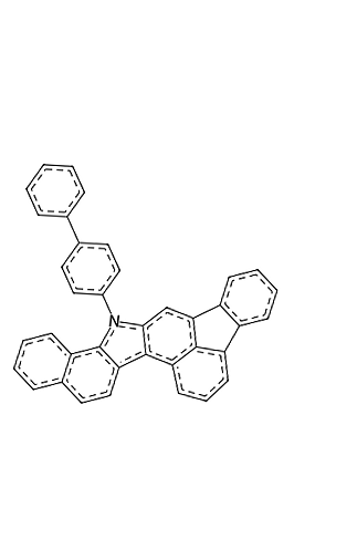 c1ccc(-c2ccc(-n3c4cc5c6c(cccc6c4c4ccc6ccccc6c43)-c3ccccc3-5)cc2)cc1